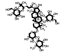 C[C@H](CC[C@H](O[C@@H]1O[C@H](CO)[C@@H](O)[C@H](O)[C@H]1O)C(C)(C)O)[C@H]1[C@@H](O)C[C@@]2(C)[C@@H]3C[C@H](O[C@@H]4O[C@H](CO)[C@@H](O)[C@H](O)[C@H]4O)[C@H]4C(C)(C)[C@@H](O[C@@H]5OC[C@@H](O)[C@H](O)[C@H]5O[C@@H]5O[C@@H](C)[C@H](O)[C@@H](O)[C@H]5O)CC[C@@]45C[C@@]35CC[C@]12C